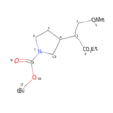 CCOC(=O)C(COC)C1CCN(C(=O)OC(C)(C)C)C1